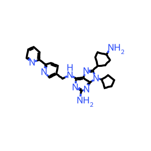 Nc1nc(NCc2ccc(-c3ccccn3)nc2)c2nc(C3CCC(N)CC3)n(C3CCCC3)c2n1